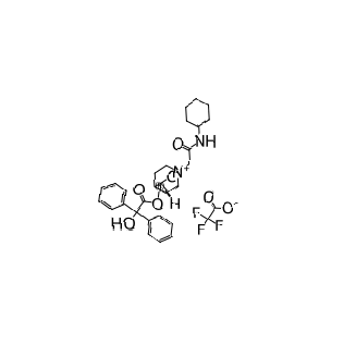 O=C(C[N+]12CCC(CC1)[C@@H](OC(=O)C(O)(c1ccccc1)c1ccccc1)C2)NC1CCCCC1.O=C([O-])C(F)(F)F